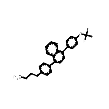 CCCCc1ccc(-c2ccc(-c3ccc(OC(F)(F)F)cc3)c3ccccc23)cc1